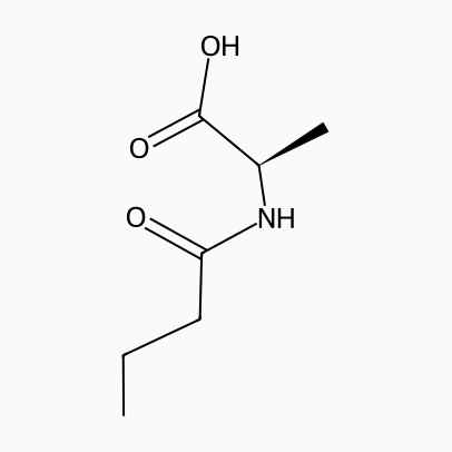 CCCC(=O)N[C@H](C)C(=O)O